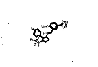 CCS(=O)(=O)NC1CCC(NCc2cc(-c3nnn[nH]3)ccc2OC)C1c1ccc(F)cc1